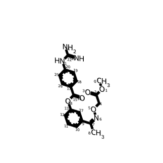 COC(=O)CO/N=C(/C)c1cccc(OC(=O)c2ccc(NC(=N)N)cc2)c1